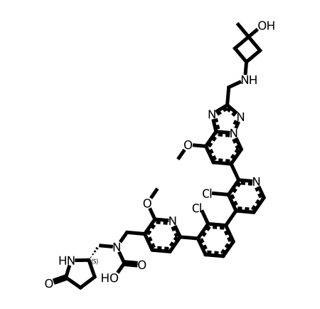 COc1nc(-c2cccc(-c3ccnc(-c4cc(OC)c5nc(CNC6CC(C)(O)C6)nn5c4)c3Cl)c2Cl)ccc1CN(C[C@@H]1CCC(=O)N1)C(=O)O